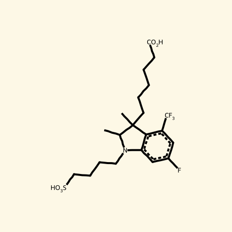 CC1N(CCCCS(=O)(=O)O)c2cc(F)cc(C(F)(F)F)c2C1(C)CCCCCC(=O)O